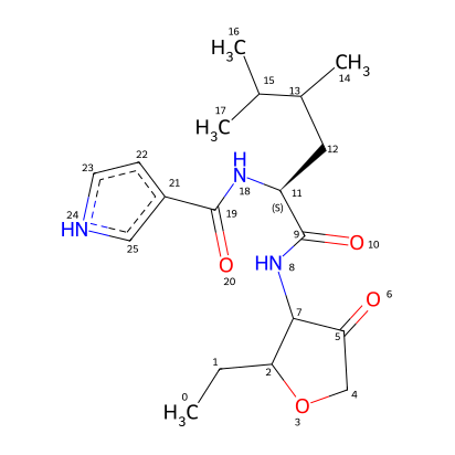 CCC1OCC(=O)C1NC(=O)[C@H](CC(C)C(C)C)NC(=O)c1cc[nH]c1